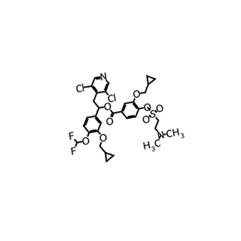 CN(C)CCS(=O)(=O)Oc1ccc(C(=O)OC(Cc2c(Cl)cncc2Cl)c2ccc(OC(F)F)c(OCC3CC3)c2)cc1OCC1CC1